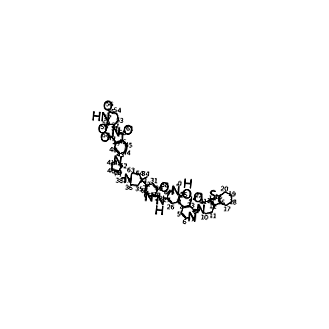 Cn1cc(-c2ccnc(N3CCc4c(sc5c4CCCC5)C3=O)c2CO)cc(Nc2ccc(C3(C)CCN(C[C@@H]4CCN(c5ccc6c(c5)C(=O)N(C5CCC(=O)NC5=O)C6=O)C4)CC3)cn2)c1=O